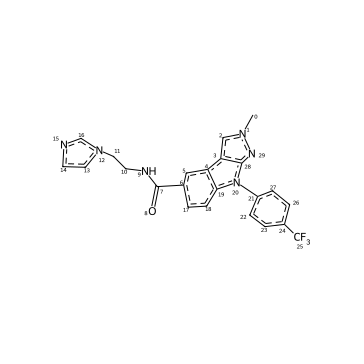 Cn1cc2c3cc(C(=O)NCCn4ccnc4)ccc3n(-c3ccc(C(F)(F)F)cc3)c2n1